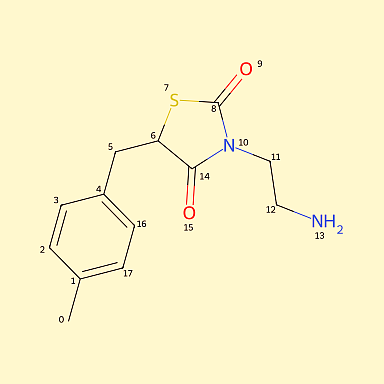 Cc1ccc(CC2SC(=O)N(CCN)C2=O)cc1